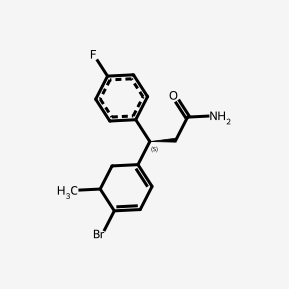 CC1CC([C@H](CC(N)=O)c2ccc(F)cc2)=CC=C1Br